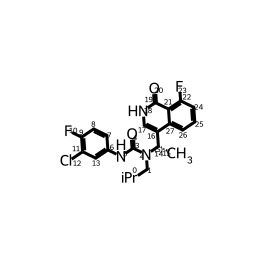 CC(C)CN(C(=O)Nc1ccc(F)c(Cl)c1)[C@@H](C)c1c[nH]c(=O)c2c(F)cccc12